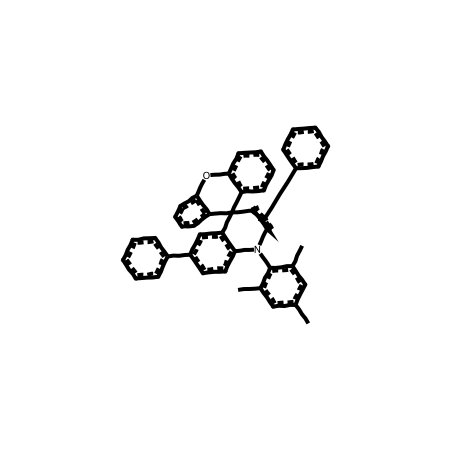 Cc1cc(C)c(N2c3ccc(-c4ccccc4)cc3C3(c4ccccc4Oc4ccccc43)c3cc(-c4ccccc4)ccc32)c(C)c1